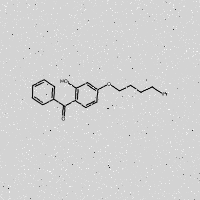 CC(C)CCCCOc1ccc(C(=O)c2ccccc2)c(O)c1